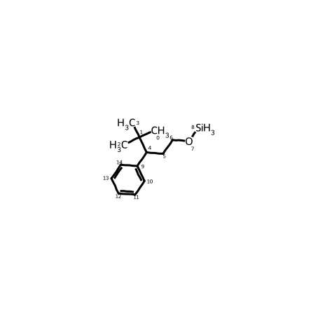 CC(C)(C)C(CCO[SiH3])c1ccccc1